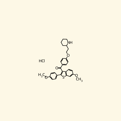 COc1ccc(-c2sc3cc(OC)ccc3c2C(=O)c2ccc(OCCC3CCCCN3)cc2)cc1.Cl